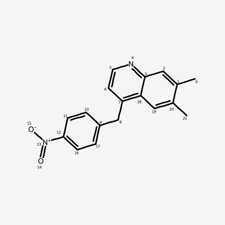 Cc1cc2nccc(Cc3ccc([N+](=O)[O-])cc3)c2cc1C